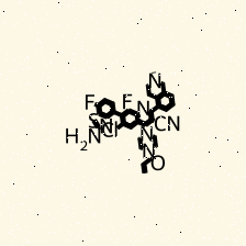 C=CC(=O)N1CCN(c2c(C#N)c(-c3cccc4c3CCN(C)C4)nc3c(F)c(-c4ccc(F)c5sc(N)nc45)c(Cl)cc23)CC1